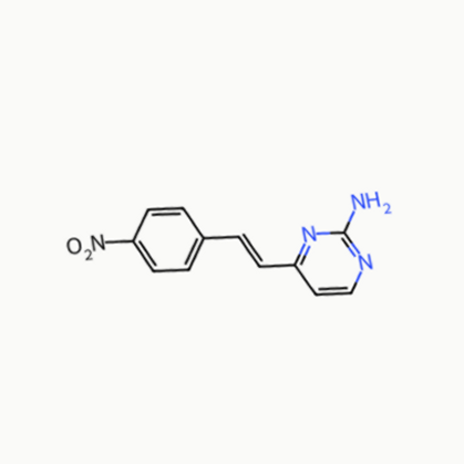 Nc1nccc(C=Cc2ccc([N+](=O)[O-])cc2)n1